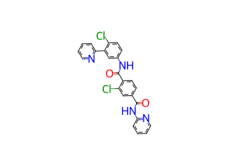 O=C(Nc1ccccn1)c1ccc(C(=O)Nc2ccc(Cl)c(-c3ccccn3)c2)c(Cl)c1